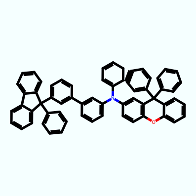 c1ccc(C2(c3ccccc3)c3ccccc3Oc3ccc(N(C4=CC=CCC4)c4cccc(-c5cccc(C6(c7ccccc7)c7ccccc7-c7ccccc76)c5)c4)cc32)cc#1